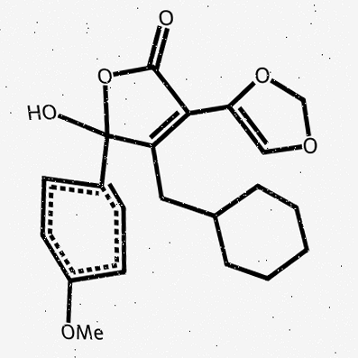 COc1ccc(C2(O)OC(=O)C(C3=COCO3)=C2CC2CCCCC2)cc1